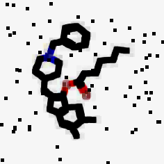 CCCCCCC(=O)OC1=C(CC2CCN(Cc3ccccc3)CC2)Cc2cc(C)c(C)cc21